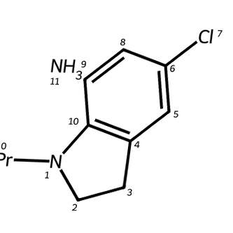 CCCN1CCc2cc(Cl)ccc21.N